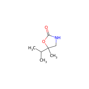 CC(C)C1(C)CNC(=O)O1